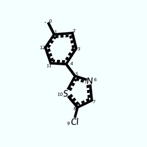 [CH2]c1ccc(-c2ncc(Cl)s2)cc1